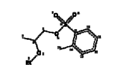 CCOC(C)COS(=O)(=O)c1ccccc1C